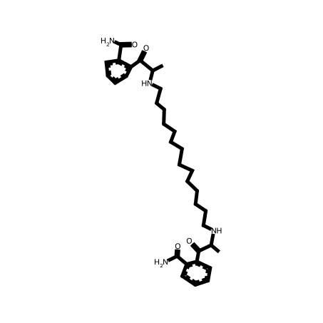 CC(NCCCCCCCCCCCCCCNC(C)C(=O)c1ccccc1C(N)=O)C(=O)c1ccccc1C(N)=O